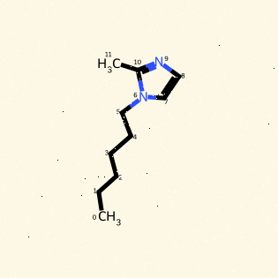 CCCCCCn1ccnc1C